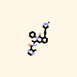 Cc1nccnc1C(=O)NC(C)c1cc2cccc(C#Cc3cnn(C)c3)c2c(=O)n1-c1ccccc1